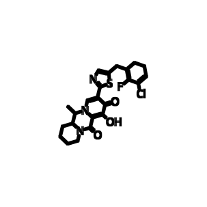 CC1C2CCCCN2C(=O)c2c(O)c(=O)c(-c3ncc(CC4=C(F)C(Cl)=CCC4)s3)cn21